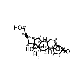 C[C@]12CCC(=O)C=C1CC[C@@H]1[C@H]2CC[C@@]2(C)[C@H]1CCC2(O)CC#CCO